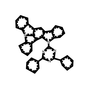 c1ccc(-c2nc(-c3ccccc3)nc(-n3c4ccccc4c4cc5c6ccccc6n6c7ccccc7c(c43)c56)n2)cc1